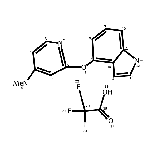 CNc1ccnc(Oc2cccc3[nH]ccc23)c1.O=C(O)C(F)(F)F